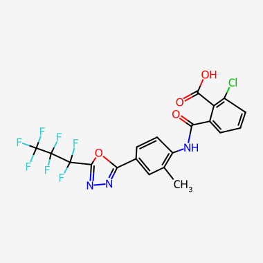 Cc1cc(-c2nnc(C(F)(F)C(F)(F)C(F)(F)F)o2)ccc1NC(=O)c1cccc(Cl)c1C(=O)O